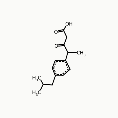 CC(C)Cc1ccc(C(C)C(=O)CC(=O)O)cc1